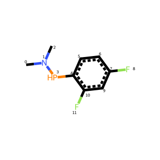 CN(C)Pc1ccc(F)cc1F